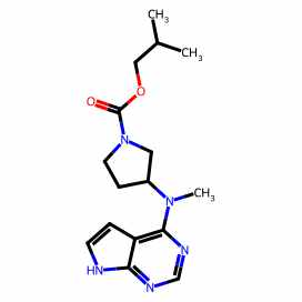 CC(C)COC(=O)N1CCC(N(C)c2ncnc3[nH]ccc23)C1